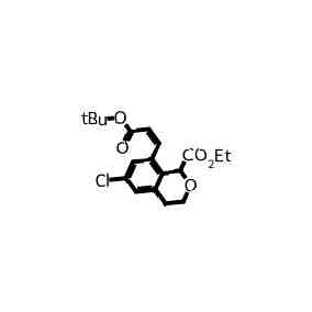 CCOC(=O)C1OCCc2cc(Cl)cc(/C=C\C(=O)OC(C)(C)C)c21